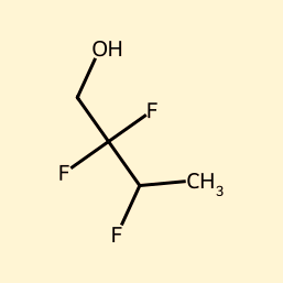 CC(F)C(F)(F)CO